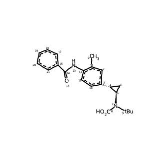 Cc1cc([C@@H]2C[C@H]2N(C(=O)O)C(C)(C)C)ccc1NC(=O)c1ccccc1